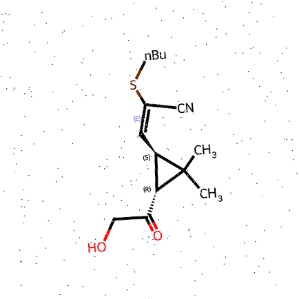 CCCCS/C(C#N)=C/[C@@H]1[C@@H](C(=O)CO)C1(C)C